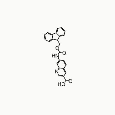 O=C(Nc1ccc2cc(C(=O)O)cnc2c1)OCC1c2ccccc2-c2ccccc21